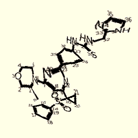 C[C@H]1COCCN1c1cc(C2(S(=O)(=O)c3ccccc3)CC2)nc(-c2ccc(NC(=S)NCc3ncc[nH]3)cc2)n1